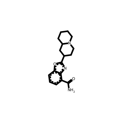 NC(=O)c1cccc2oc(C3CCN4CCCCC4C3)nc12